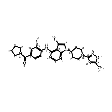 O=C(c1ccc(Nc2ncnc3c2c(F)cn3C2CCN(c3noc(C(F)(F)F)n3)CC2)c(F)c1)N1CCCC1